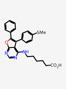 CSc1ccc(-c2c(-c3ccccc3)oc3ncnc(NCCCCCC(=O)O)c23)cc1